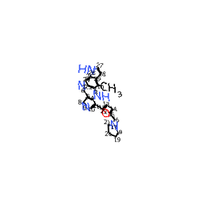 Cc1c(Nc2c(C#N)cncc2-c2ccc(CN3CCCC3)o2)ccc2[nH]ccc12